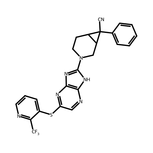 N#CC1(c2ccccc2)C2CCN(c3nc4nc(Sc5cccnc5C(F)(F)F)cnc4[nH]3)CC21